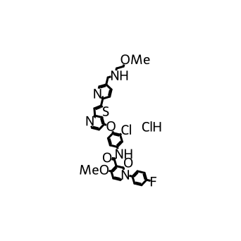 COCCNCc1ccc(-c2cc3nccc(Oc4ccc(NC(=O)c5c(OC)ccn(-c6ccc(F)cc6)c5=O)cc4Cl)c3s2)nc1.Cl